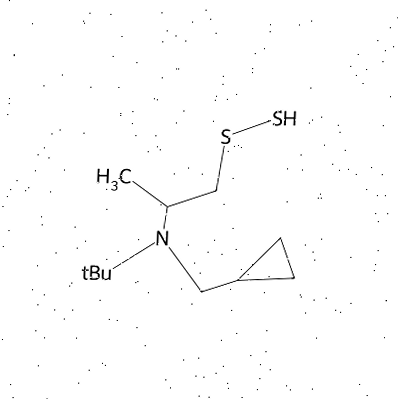 CC(CSS)N(CC1CC1)C(C)(C)C